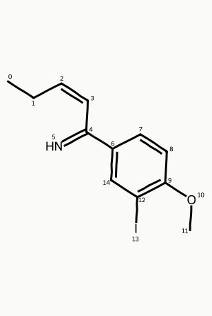 CC/C=C\C(=N)c1ccc(OC)c(I)c1